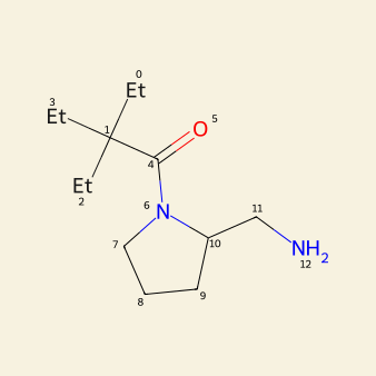 CCC(CC)(CC)C(=O)N1CCCC1CN